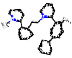 Cc1ccc(-c2ccccc2)cc1-c1cccc[n+]1CCc1ccccc1-c1cccc[n+]1C